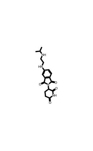 CC(C)NCCNc1ccc2c(c1)C(=O)N(C1CCC(=O)NC1=O)C2=O